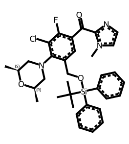 C[C@@H]1CN(c2c(CO[Si](c3ccccc3)(c3ccccc3)C(C)(C)C)cc(C(=O)c3nccn3C)c(F)c2Cl)C[C@H](C)O1